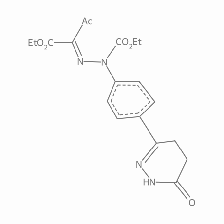 CCOC(=O)C(=NN(C(=O)OCC)c1ccc(C2=NNC(=O)CC2)cc1)C(C)=O